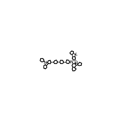 CC1(C)c2ccccc2-c2cc(N(c3ccc(-c4ccc(-c5ccc(-c6ccc7c(c6)c6ccccc6n7-c6ccccc6)cc5)cc4)cc3)c3cc4ccccc4c4c3oc3ccccc34)ccc21